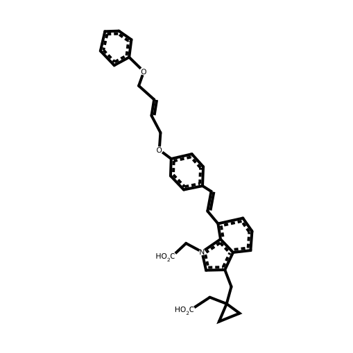 O=C(O)Cn1cc(CC2(CC(=O)O)CC2)c2cccc(C=Cc3ccc(OC/C=C/COc4ccccc4)cc3)c21